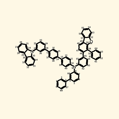 c1ccc(-c2cccc(N(c3ccc(-c4ccc(-c5cccc(-n6c7ccccc7c7ccccc76)c5)cc4)cc3)c3cccc(-c4ccc5c(oc6ccccc65)c4-c4ccccc4)c3)c2)cc1